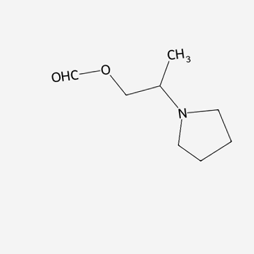 CC(COC=O)N1CCCC1